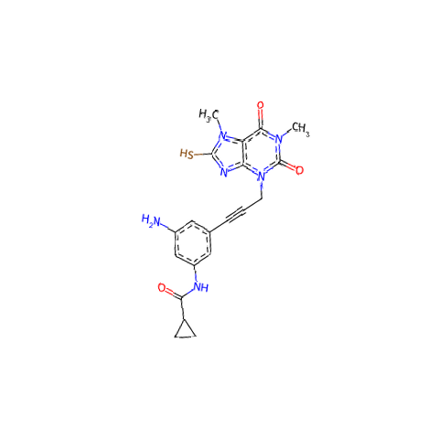 Cn1c(=O)c2c(nc(S)n2C)n(CC#Cc2cc(N)cc(NC(=O)C3CC3)c2)c1=O